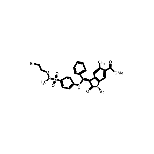 COC(=O)c1cc2c(cc1C)/C(=C(/Nc1ccc(S(=O)(=O)N(C)OCCBr)cc1)c1ccccc1)C(=O)N2C(C)=O